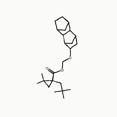 CC(C)(C)CC1(C(=O)OCOC2CC3CC2C2C4CCC(C4)C32)CC1(C)C